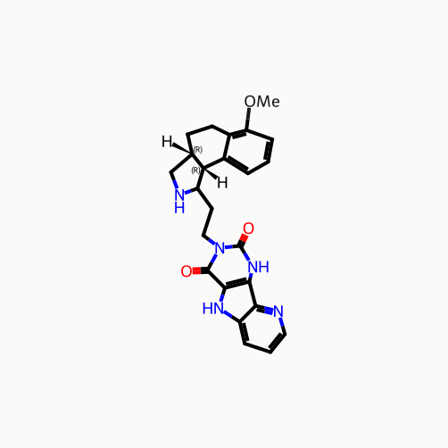 COc1cccc2c1CC[C@H]1CNC(CCn3c(=O)[nH]c4c([nH]c5cccnc54)c3=O)[C@@H]21